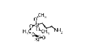 CO[Si](CCCN)(OC)OC.O=[Si]=O.[Si]